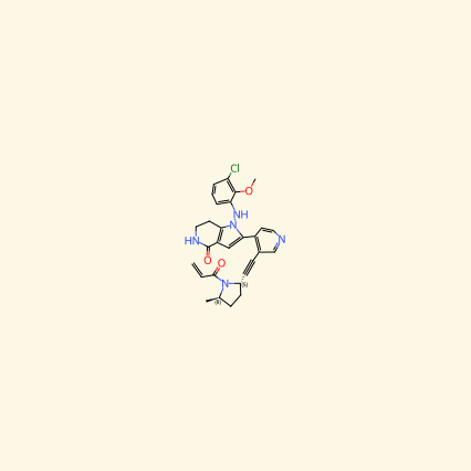 C=CC(=O)N1[C@H](C)CC[C@H]1C#Cc1cnccc1-c1cc2c(n1Nc1cccc(Cl)c1OC)CCNC2=O